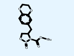 CC(C)(C)OC(=O)N1C(Cc2ccc3c(c2)OCCO3)COS1=O